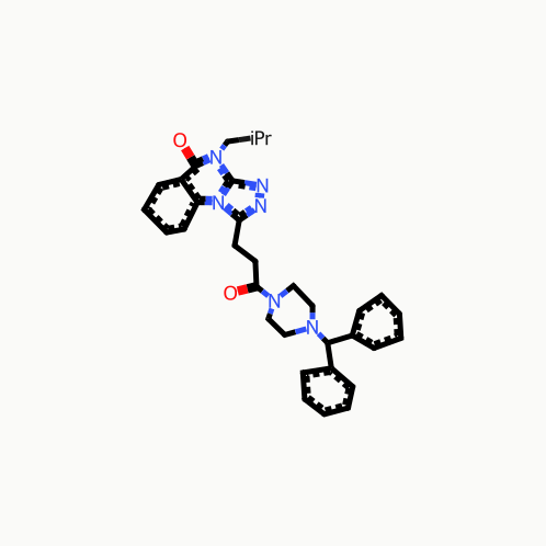 CC(C)Cn1c(=O)c2ccccc2n2c(CCC(=O)N3CCN(C(c4ccccc4)c4ccccc4)CC3)nnc12